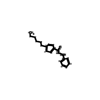 CCCCCCc1ccc(C(Cl)=NNc2ccccc2)cc1